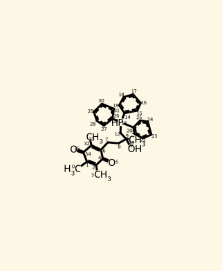 CC1=C(C)C(=O)C(CCC(C)(O)C[PH](c2ccccc2)(c2ccccc2)c2ccccc2)=C(C)C1=O